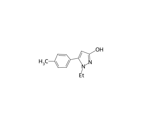 CCn1nc(O)cc1-c1ccc(C)cc1